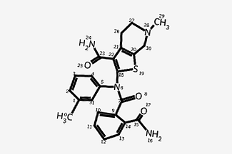 Cc1cccc(N(C(=O)c2ccccc2C(N)=O)c2sc3c(c2C(N)=O)CCN(C)C3)c1